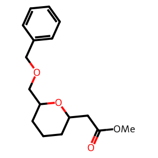 COC(=O)CC1CCCC(COCc2ccccc2)O1